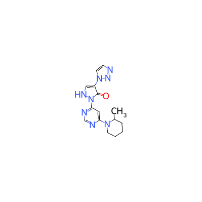 CC1CCCCN1c1cc(-n2[nH]cc(-n3ccnn3)c2=O)ncn1